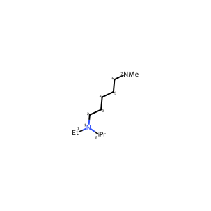 CCN(CCCCCNC)C(C)C